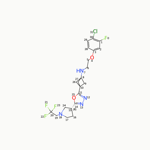 Fc1cc(OCCNC23CC(c4nnc([C@@H]5CCN(CC(F)(F)F)C5)o4)(C2)C3)ccc1Cl